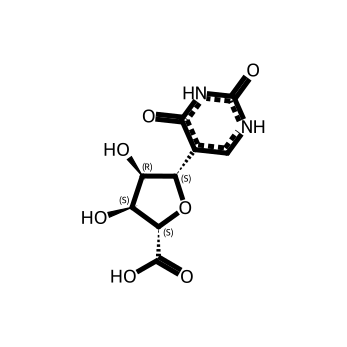 O=C(O)[C@H]1O[C@@H](c2c[nH]c(=O)[nH]c2=O)[C@H](O)[C@@H]1O